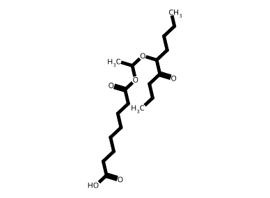 CCCCC(OC(C)OC(=O)CCCCCCC(=O)O)C(=O)CCC